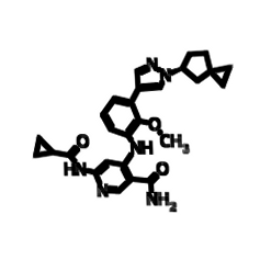 COc1c(Nc2cc(NC(=O)C3CC3)ncc2C(N)=O)cccc1-c1cnn([C@H]2CCC3(CC3)C2)c1